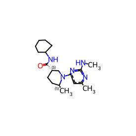 CNc1nc(C)cc(N2C[C@@H](C(=O)NC3CCCCC3)CC[C@@H]2C)n1